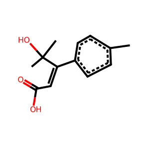 Cc1ccc(/C(=C/C(=O)O)C(C)(C)O)cc1